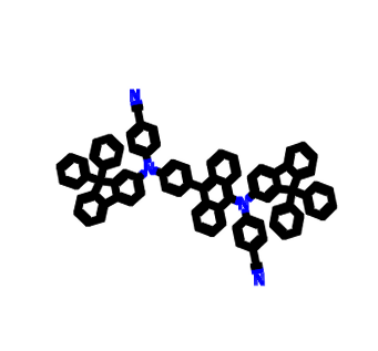 N#Cc1ccc(N(c2ccc(-c3c4ccccc4c(N(c4ccc(C#N)cc4)c4ccc5c(c4)C(c4ccccc4)(c4ccccc4)c4ccccc4-5)c4ccccc34)cc2)c2ccc3c(c2)C(c2ccccc2)(c2ccccc2)c2ccccc2-3)cc1